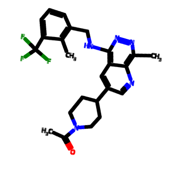 CC(=O)N1CCC(c2cnc3c(C)nnc(NCc4cccc(C(F)(F)F)c4C)c3c2)CC1